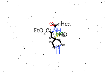 CCCCCCC(=O)NC(CC1(SN=O)CCNCC1)C(=O)OCC.Cl